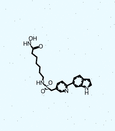 O=C(CCCCCCNS(=O)(=O)Cc1ccc(-c2ccc3cc[nH]c3c2)nc1)NO